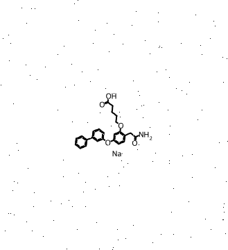 NC(=O)Cc1ccc(Oc2cccc(-c3ccccc3)c2)cc1OCCCCC(=O)O.[Na]